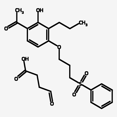 CCCc1c(OCCCS(=O)(=O)c2ccccc2)ccc(C(C)=O)c1O.O=CCCC(=O)O